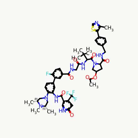 CC(=O)OC1CC(C(=O)NCc2ccc(-c3scnc3C)cc2)N(C(=O)C(NC(=O)CNC(=O)c2ccc(F)c(-c3ccc(N4C[C@@H](C)N(C)[C@@H](C)C4)c(NC(=O)c4c[nH]c(=O)cc4C(F)(F)F)c3)c2)C(C)(C)C)C1